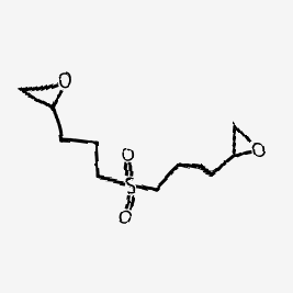 O=S(=O)(CCCC1CO1)CCCC1CO1